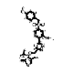 COc1ccc(CS(=O)(=O)c2cnc(-c3nnc(CO[Si](C(C)C)(C(C)C)C(C)C)o3)c(N)c2)cc1